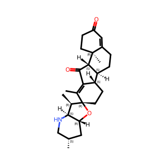 CC1=C2C(=O)[C@H]3[C@@H](CCC4=CC(=O)CC[C@@]43C)[C@@H]2CC[C@]12O[C@@H]1C[C@H](C)CN[C@H]1[C@H]2C